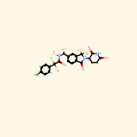 BC(c1ccc2c(c1)C(B)(B)N(C1CCC(=O)NC1=O)C2=O)N(B)C(=O)C(F)(F)c1ccc(Cl)cc1